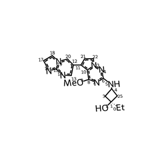 CC[C@]1(O)C[C@@H](Nc2nc(OC)c3c(-c4cnc5nccn5c4)ccn3n2)C1